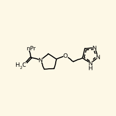 C=C(CCC)N1CCC(OCc2cnn[nH]2)C1